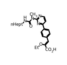 CCCCCCCNC(=O)N(C)c1nccc(-c2ccc(C=C(OCC)C(=O)O)cc2)n1